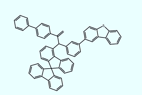 C=C(c1ccc(-c2ccccc2)cc1)C(c1cccc(-c2ccc3sc4ccccc4c3c2)c1)c1cccc2c1-c1ccccc1C21c2ccccc2-c2ccccc21